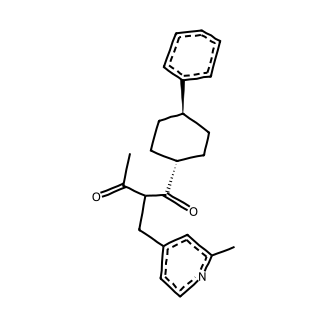 CC(=O)C(Cc1ccnc(C)c1)C(=O)[C@H]1CC[C@H](c2ccccc2)CC1